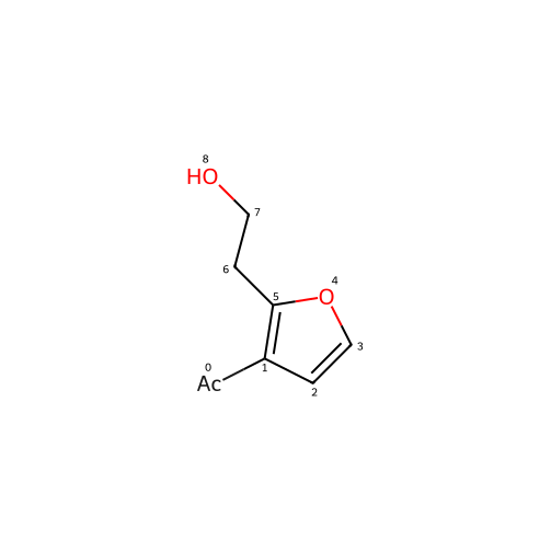 [CH2]C(=O)c1ccoc1CCO